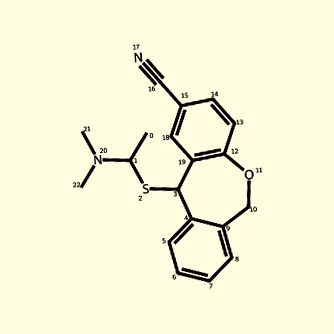 CC(SC1c2ccccc2COc2ccc(C#N)cc21)N(C)C